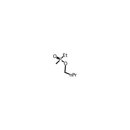 CCCCOP(C)(=O)CC